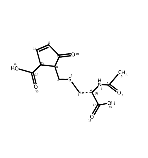 CC(=O)N[C@@H](CSCC1C(=O)C=CC1C(=O)O)C(=O)O